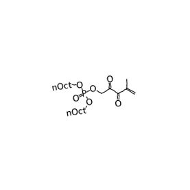 C=C(C)C(=O)C(=O)COP(=O)(OCCCCCCCC)OCCCCCCCC